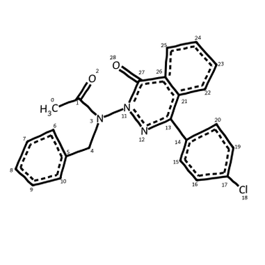 CC(=O)N(Cc1ccccc1)n1nc(-c2ccc(Cl)cc2)c2ccccc2c1=O